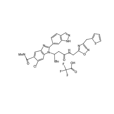 CNC(=O)c1cc2nc(-c3ccc4cn[nH]c4c3)n(C(CC(=O)NCc3nc(Cc4cccs4)no3)C(C)(C)C)c2cc1Cl.O=C(O)C(F)(F)F